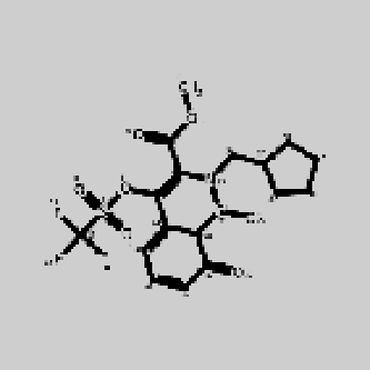 COC(=O)C1=C(OS(=O)(=O)C(F)(F)F)C2=CC=CC(=O)C2[S+]([O-])N1CC1CCCC1